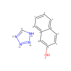 Oc1ccc2ccccc2c1.c1nnn[nH]1